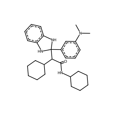 CN(C)c1cccc(C2(C(C(=O)NC3CCCCC3)C3CCCCC3)Nc3ccccc3N2)c1